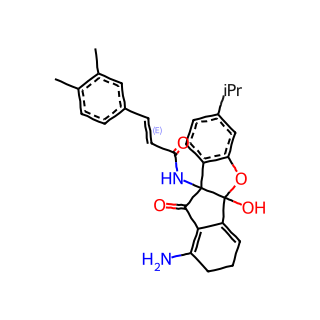 Cc1ccc(/C=C/C(=O)NC23C(=O)C4=C(N)CCC=C4C2(O)Oc2cc(C(C)C)ccc23)cc1C